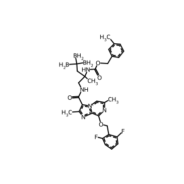 BC(B)(B)CC(C)(CNC(=O)c1c(C)nc2c(OCc3c(F)cccc3F)nc(C)cn12)NC(=O)OCc1cccc(C)c1